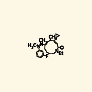 C=C1/C=C(/N(C)N(C)c2cccc(F)c2)CCCCN(CC)C(=O)/C=C\1C1CC1